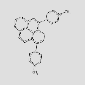 C[n+]1ccc(-c2ccc3c(-c4cc[n+](C)cc4)cc4cccc5ccc2c3c54)cc1